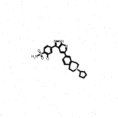 NS(=O)(=O)c1ccc(-c2n[nH]c3ncc(-c4ccc5c(c4)CCN(C4CCCC4)CC5)cc23)cc1Cl